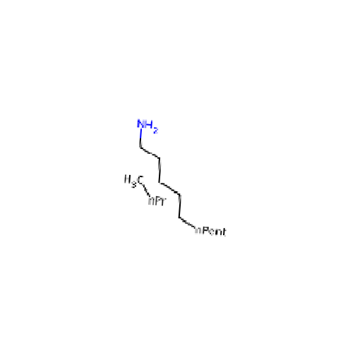 CCCC.CCCCCCCCCCN